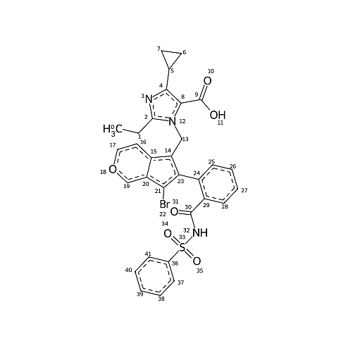 CCc1nc(C2CC2)c(C(=O)O)n1Cc1c2ccocc-2c(Br)c1-c1ccccc1C(=O)NS(=O)(=O)c1ccccc1